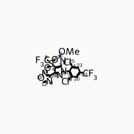 CO/C=N/c1c(S(=O)(=O)C(F)(F)F)c(-c2ncon2)nn1-c1c(Cl)cc(C(F)(F)F)cc1Cl